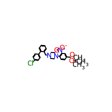 CC(C)(C)OC(=O)c1ccc(N2CCN(Cc3ccccc3-c3ccc(Cl)cc3)CC2)c([N+](=O)[O-])c1